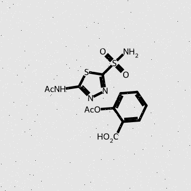 CC(=O)Nc1nnc(S(N)(=O)=O)s1.CC(=O)Oc1ccccc1C(=O)O